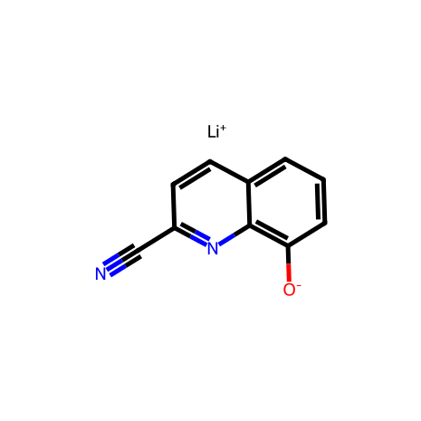 N#Cc1ccc2cccc([O-])c2n1.[Li+]